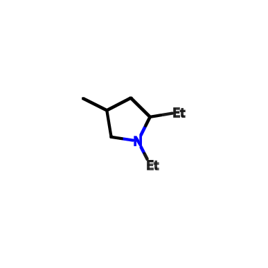 CCC1CC(C)CN1CC